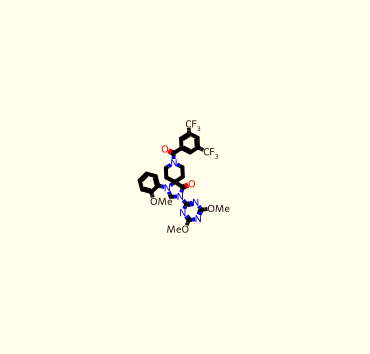 COc1nc(OC)nc(N2CN(c3ccccc3OC)C3(CCN(C(=O)c4cc(C(F)(F)F)cc(C(F)(F)F)c4)CC3)C2=O)n1